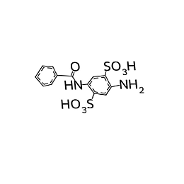 Nc1cc(S(=O)(=O)O)c(NC(=O)c2ccccc2)cc1S(=O)(=O)O